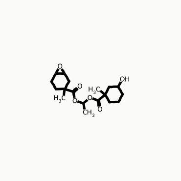 CC(OC(=O)C1(C)CCCC(O)C1)OC(=O)C1(C)CCC2OC2C1